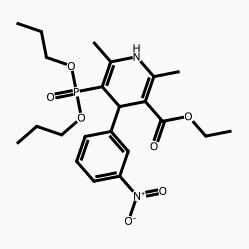 CCCOP(=O)(OCCC)C1=C(C)NC(C)=C(C(=O)OCC)C1c1cccc([N+](=O)[O-])c1